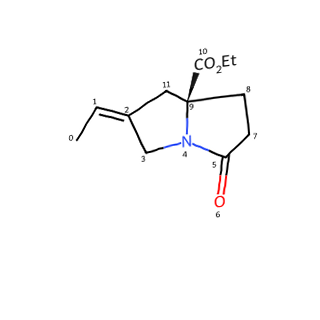 C/C=C1\CN2C(=O)CC[C@@]2(C(=O)OCC)C1